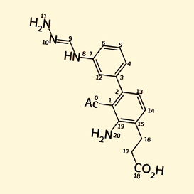 CC(=O)c1c(-c2cccc(NC=NN)c2)ccc(CCC(=O)O)c1N